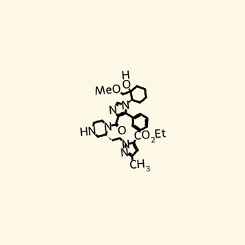 CCOC(=O)c1cc(C)nn1CC[C@@H]1CNCCN1C(=O)c1ncn([C@@H]2CCCC[C@@]2(O)COC)c1-c1ccccc1